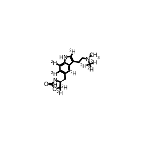 [2H]c1[nH]c2c([2H])c([2H])c(C[C@@H]3NC(=O)OC3([2H])[2H])c([2H])c2c1CCN(C)C([2H])([2H])[2H]